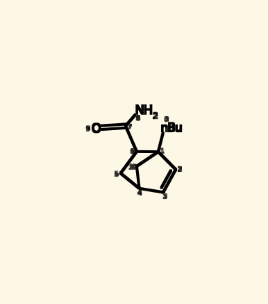 CCCCC12C=CC(CC1C(N)=O)C2